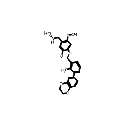 Cc1c(COc2cc(OC#N)c(CNO)cc2Cl)cccc1-c1ccc2c(c1)OCCO2